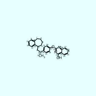 CN(CC1CCCCc2ccccc21)c1ccc(Oc2nc(O)c3ccncc3n2)cc1